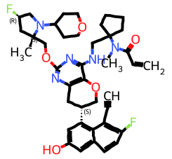 C#Cc1c(F)ccc2cc(O)cc([C@H]3COc4c(nc(OC[C@]5(C)C[C@@H](F)CN5C5CCOCC5)nc4NCC4(N(C)C(=O)C=C)CCCC4)C3)c12